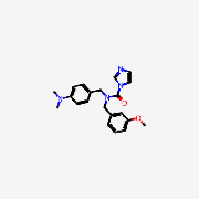 COc1cccc(CN(Cc2ccc(N(C)C)cc2)C(=O)n2ccnc2)c1